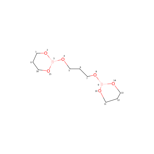 C1COB(OCCCOB2OCCCO2)OC1